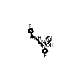 CN1CCN(C2=NC(CCCN[C@@H]3C[C@H]3c3ccc(F)cc3)=CN(c3ccc(F)cc3)C2O)CC1